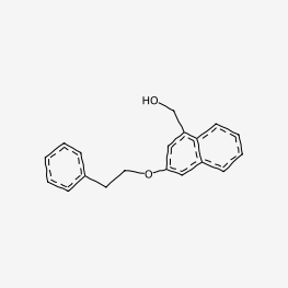 OCc1cc(OCCc2ccccc2)cc2ccccc12